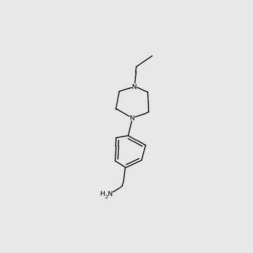 CCN1CCN(c2ccc(CN)cc2)CC1